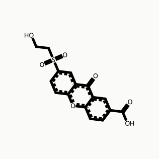 O=C(O)c1ccc2oc3ccc(S(=O)(=O)CCO)cc3c(=O)c2c1